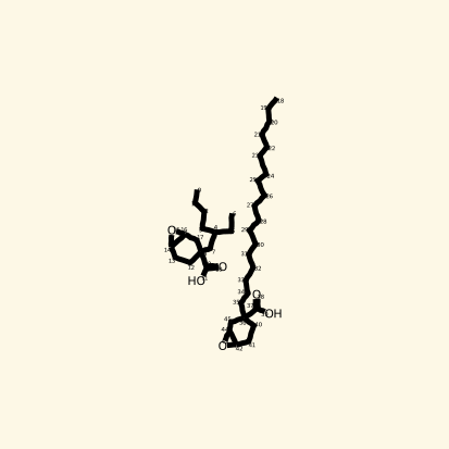 CCCCC(CC)CC1(C(=O)O)CCC2OC2C1.CCCCCCCCCCCCCCCCCCC1(C(=O)O)CCC2OC2C1